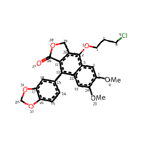 COc1cc2c(OCCCCl)c3c(c(-c4ccc5c(c4)OCO5)c2cc1OC)C(=O)OC3